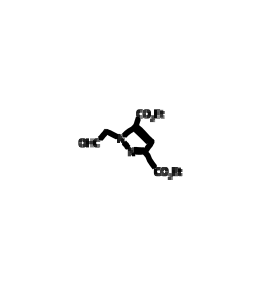 CCOC(=O)c1cc(C(=O)OCC)n(CC=O)n1